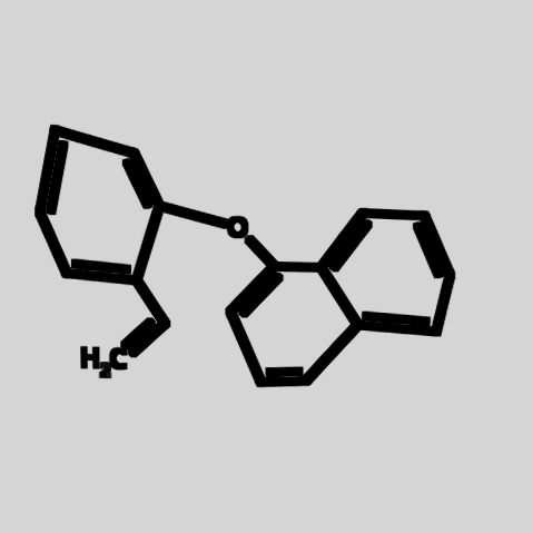 C=Cc1ccccc1Oc1cccc2ccccc12